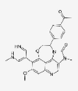 CN/C=C(\C=N)c1c(OC)cc2ncc3c4c2c1OCC(c1ccc(C(C)=O)cc1)n4c(=O)n3C